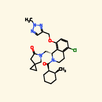 C[C@H]1CCCC[C@H]1C(=O)N1CCc2c(Cl)ccc(OCc3cnn(C)n3)c2[C@H]1CN1CC2(CC2)CC1=O